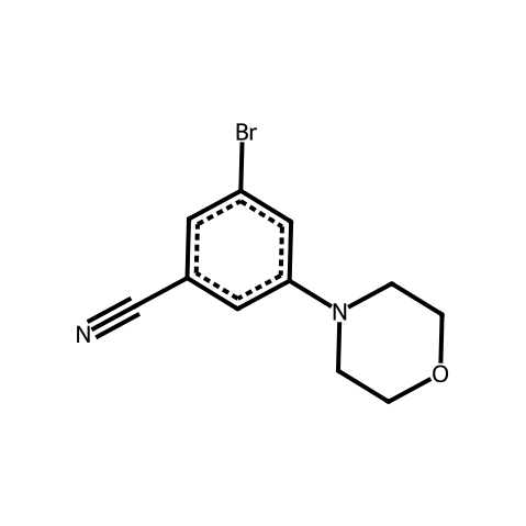 N#Cc1cc(Br)cc(N2CCOCC2)c1